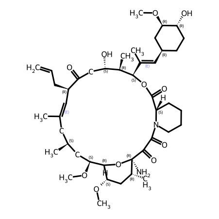 C=CC[C@@H]1/C=C(\C)C[C@H](C)C[C@H](OC)[C@H]2O[C@@](N)(C(=O)C(=O)N3CCCC[C@H]3C(=O)O[C@H](/C(C)=C/[C@@H]3CC[C@@H](O)[C@H](OC)C3)[C@H](C)[C@@H](O)CC1=O)[C@H](C)C[C@@H]2OC